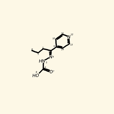 CCCC(=NNC(=O)O)c1ccncc1